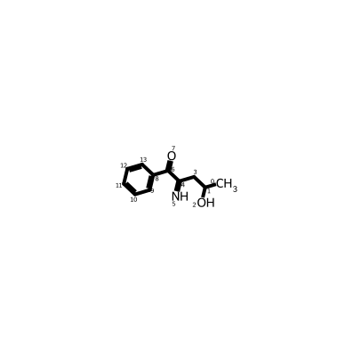 CC(O)CC(=N)C(=O)c1ccccc1